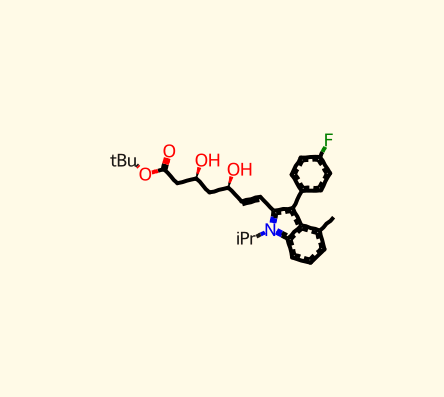 Cc1cccc2c1c(-c1ccc(F)cc1)c(/C=C/[C@H](O)C[C@H](O)CC(=O)OC(C)(C)C)n2C(C)C